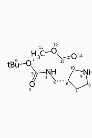 CC(C)(C)OC(=O)NC[C@H]1CCNC1.COC=O